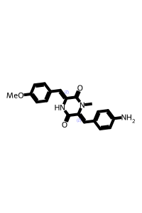 COc1ccc(/C=c2\[nH]c(=O)/c(=C/c3ccc(N)cc3)n(C)c2=O)cc1